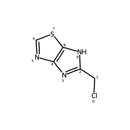 ClCc1nc2ncsc2[nH]1